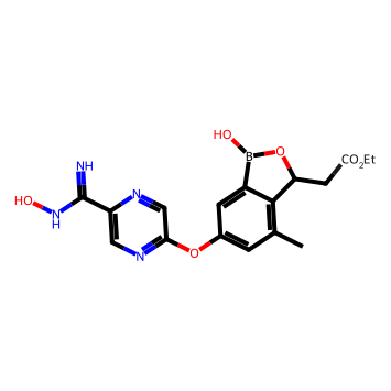 CCOC(=O)CC1OB(O)c2cc(Oc3cnc(C(=N)NO)cn3)cc(C)c21